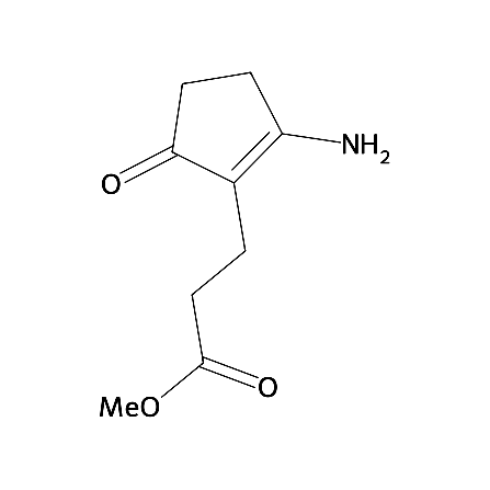 COC(=O)CCC1=C(N)CCC1=O